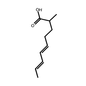 C/C=C/C=C/CCC(C)C(=O)O